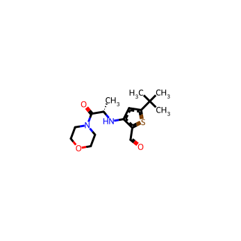 C[C@H](Nc1cc(C(C)(C)C)sc1C=O)C(=O)N1CCOCC1